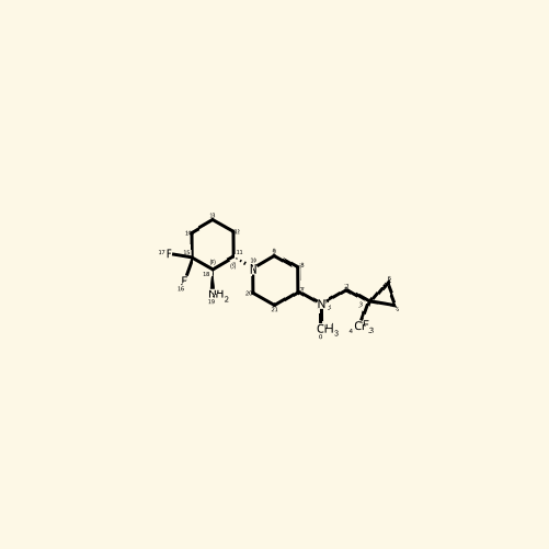 CN(CC1(C(F)(F)F)CC1)C1CCN([C@H]2CCCC(F)(F)[C@@H]2N)CC1